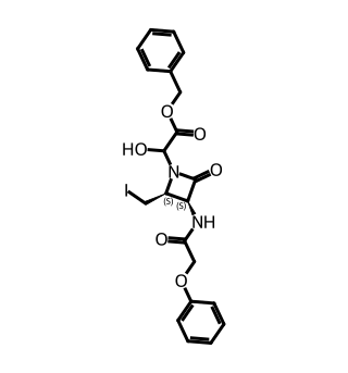 O=C(COc1ccccc1)N[C@@H]1C(=O)N(C(O)C(=O)OCc2ccccc2)[C@@H]1CI